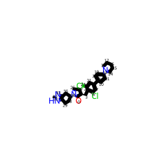 O=C1[C@H](Cc2c(Cl)cc(-c3ccc(N4CCCCC4)cc3)cc2Cl)CCN1C1CCc2[nH]cnc2C1